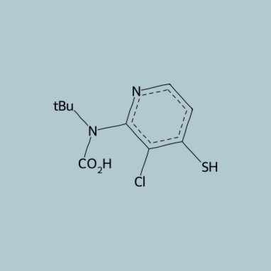 CC(C)(C)N(C(=O)O)c1nccc(S)c1Cl